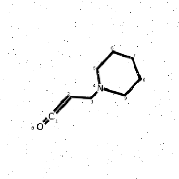 O=C=[C]CN1CCCCC1